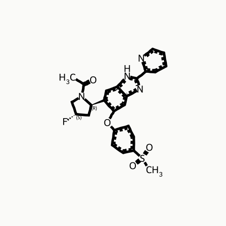 CC(=O)N1C[C@@H](F)C[C@@H]1c1cc2[nH]c(-c3ccccn3)nc2cc1Oc1ccc(S(C)(=O)=O)cc1